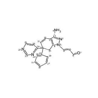 Nc1nn(C=CC=O)c2c1C=CC(c1ccccc1)(c1ccncn1)C2